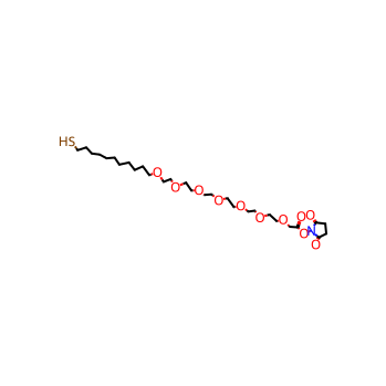 O=C(COCCOCCOCCOCCOCCOCCOCCCCCCCCCCCS)ON1C(=O)CCC1=O